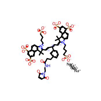 CC1(C)C(/C=C/C(=C/C=C2/N(CCCCS(=O)(=O)[O-])c3ccc4c(S(=O)(=O)[O-])cc(S(=O)(=O)[O-])cc4c3C2(C)C)c2cccc(CCC(=O)NCCN3C(=O)C=CC3=O)c2)=[N+](CCCCS(=O)(=O)[O-])c2ccc3c(S(=O)(=O)[O-])cc(S(=O)(=O)[O-])cc3c21.[Na+].[Na+].[Na+].[Na+].[Na+]